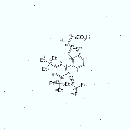 CCC(CC)(CC)c1cc(-c2cccc3sc(/C(C)=C\C(=O)O)cc23)c(OCC(F)F)c(C(CC)(CC)CC)c1